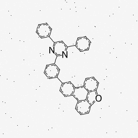 c1ccc(-c2cc(-c3ccccc3)nc(-c3cccc(-c4ccc5c(c4)c4cccc6oc7cccc5c7c64)c3)n2)cc1